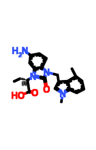 CC[C@@H](C(=O)O)n1c(=O)n(Cc2cn(C)c3cccc(C)c23)c2ccc(N)cc21